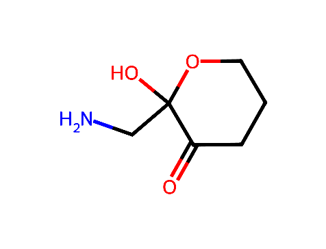 NCC1(O)OCCCC1=O